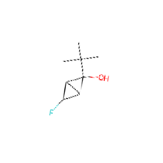 CC(C)(C)C1(O)C2C(F)C21